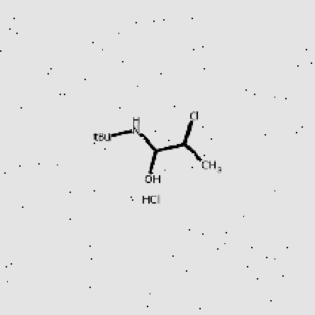 CC(Cl)C(O)NC(C)(C)C.Cl